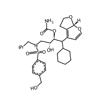 CC(C)CN(C[C@@H](O)[C@@H](OC(N)=O)C(C1=C2CCO[C@@H]2OC=C1)C1CCCCC1)S(=O)(=O)c1ccc(CO)cc1